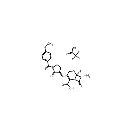 COc1ccc(C(=O)N2CCC(=CC3=C(C(=O)O)N4C(=O)[C@@H](N)[C@H]4SC3)C2=O)cc1.O=C(O)C(F)(F)F